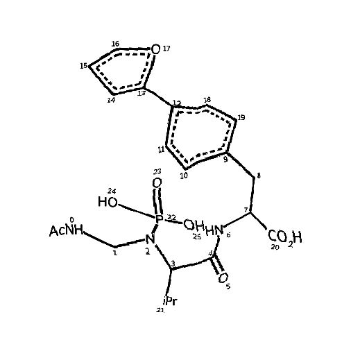 CC(=O)NCN(C(C(=O)NC(Cc1ccc(-c2ccco2)cc1)C(=O)O)C(C)C)P(=O)(O)O